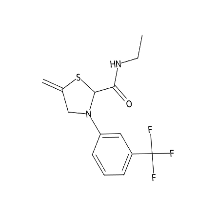 C=C1CN(c2cccc(C(F)(F)F)c2)C(C(=O)NCC)S1